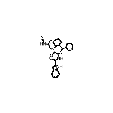 N#CNC(=O)CN1C(=O)C(NC(=O)c2cc3ccccc3[nH]2)N=C(c2ccccc2)c2ccccc21